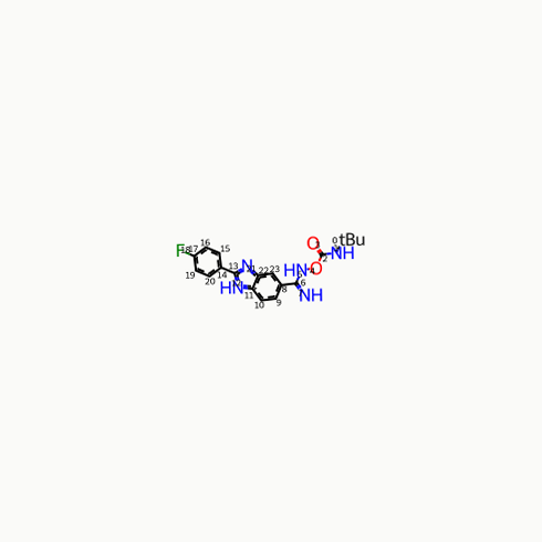 CC(C)(C)NC(=O)ONC(=N)c1ccc2[nH]c(-c3ccc(F)cc3)nc2c1